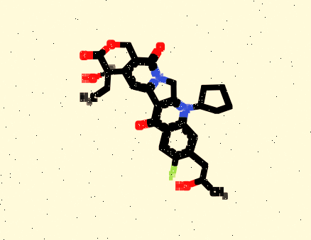 CC[C@@]1(O)C(=O)OCc2c1cc1n(c2=O)Cc2c-1c(=O)c1cc(F)c(CC(C)O)cc1n2C1CCCC1